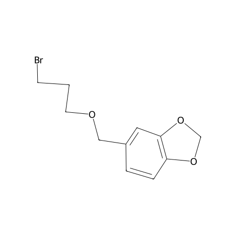 BrCCCOCc1ccc2c(c1)OCO2